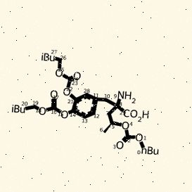 CCCCOC(=O)O[C@@H](C)CC(N)(Cc1ccc(OC(=O)OCC(C)CC)c(OC(=O)OCC(C)CC)c1)C(=O)O